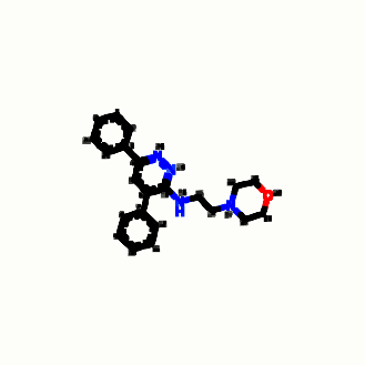 c1ccc(-c2cc(-c3ccccc3)c(NCCN3CCOCC3)nn2)cc1